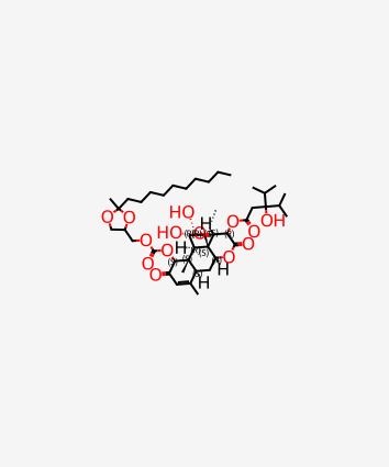 CCCCCCCCCCC1(C)OCC(COC(=O)O[C@@H]2C(=O)C=C(C)[C@@H]3C[C@H]4OC(=O)[C@H](OC(=O)CC(O)(C(C)C)C(C)C)[C@H]5[C@H](C)[C@@H](O)[C@]6(O)OC[C@@]54[C@H]6[C@@]23C)O1